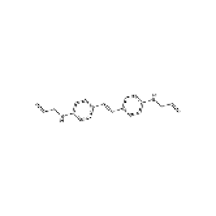 C=CCBc1ccc(/N=N/c2ccc(BCC=C)cc2)cc1